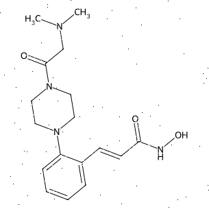 CN(C)CC(=O)N1CCN(c2ccccc2C=CC(=O)NO)CC1